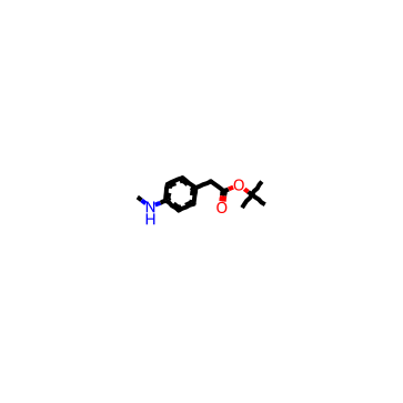 CNc1ccc(CC(=O)OC(C)(C)C)cc1